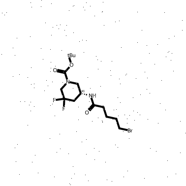 CC(C)(C)OC(=O)N1C[C@H](NC(=O)CCCCBr)CC(F)(F)C1